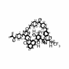 C=C(F)C(=O)N1CCN(c2nc(OCCN3CCN(C(=O)C4CCN(Cc5ccc(-n6c(C(=O)NCC(F)(F)F)nnc6-c6cc(C(C)C)c(O)cc6O)cc5)CC4)CC3)nc3c2CCN(c2cccc4cccc(Cl)c24)C3)CC1